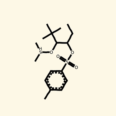 CCC(OS(=O)(=O)c1ccc(C)cc1)C(O[SiH](C)C)C(C)(C)C